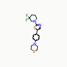 FC1(F)CCCN(c2ncc(-c3ccc(N4CCSCC4)cc3)s2)C1